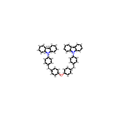 c1ccc2c(c1)c1ccccc1n2-c1ccc(Cc2ccc(Oc3ccc(Cc4ccc(-n5c6ccccc6c6ccccc65)cc4)cc3)cc2)cc1